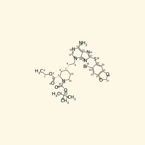 CCOC(=O)[C@@H]1C[C@H](CCn2cnc(N)c3nc(Sc4cc5c(cc4Br)OCO5)nc2-3)CCN1C(=O)OC(C)(C)C